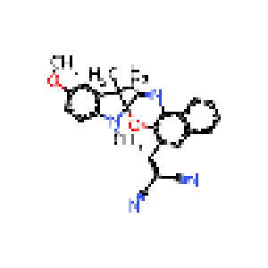 COc1ccc2c(c1)C(C)(C)C1(C=Nc3c(c(C=C(C#N)C#N)cc4ccccc34)O1)N2C